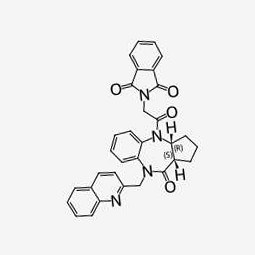 O=C1c2ccccc2C(=O)N1CC(=O)N1c2ccccc2N(Cc2ccc3ccccc3n2)C(=O)[C@H]2CCC[C@H]21